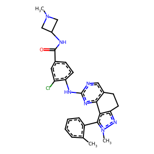 Cc1ccccc1-c1c2c(nn1C)CCc1cnc(Nc3ccc(C(=O)NC4CN(C)C4)cc3Cl)nc1-2